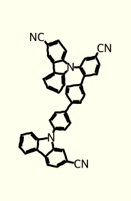 N#Cc1ccc(-c2ccc(-c3ccc(-n4c5ccccc5c5ccc(C#N)cc54)cc3)cc2)c(-n2c3ccccc3c3cc(C#N)ccc32)c1